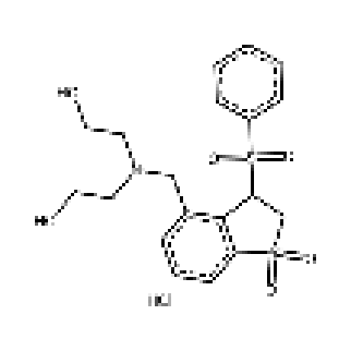 Cl.O=S1(=O)CC(S(=O)(=O)c2ccccc2)c2c(CN(CCO)CCO)cccc21